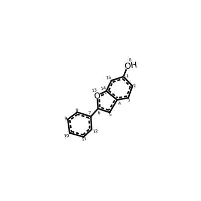 Oc1ccc2cc(-c3ccccc3)oc2c1